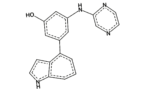 Oc1cc(Nc2cnccn2)cc(-c2cccc3[nH]ccc23)c1